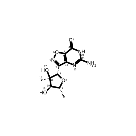 C[C@H]1O[C@@H](c2noc3c(=O)[nH]c(N)nc23)[C@](C)(O)[C@@H]1O